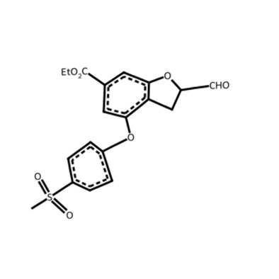 CCOC(=O)c1cc(Oc2ccc(S(C)(=O)=O)cc2)c2c(c1)OC(C=O)C2